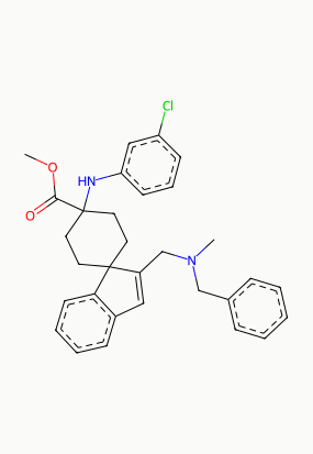 COC(=O)C1(Nc2cccc(Cl)c2)CCC2(CC1)C(CN(C)Cc1ccccc1)=Cc1ccccc12